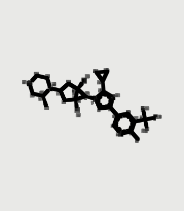 Cc1ncc(-c2cn([C@H]3[C@@H]4CC(N5CCOC[C@@H]5C)C[C@@H]43)c(C3CC3)n2)cc1C(F)(F)F